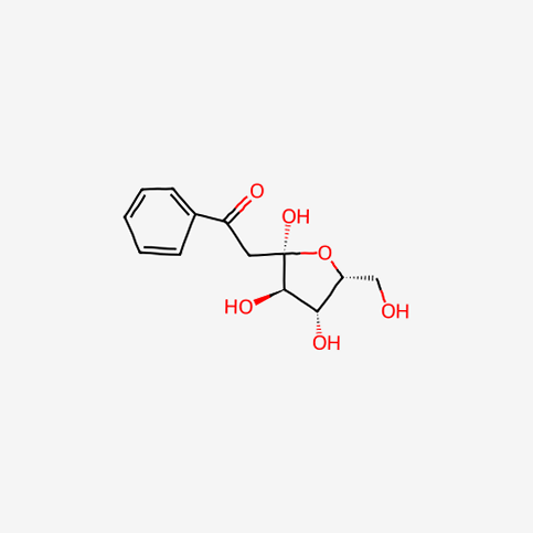 O=C(C[C@@]1(O)O[C@H](CO)[C@H](O)[C@H]1O)c1ccccc1